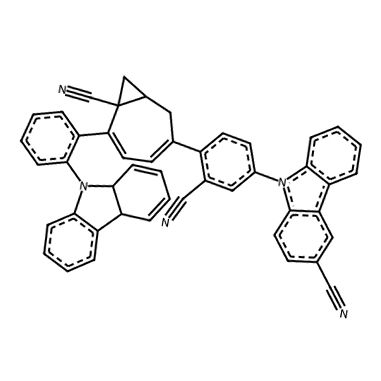 N#Cc1ccc2c(c1)c1ccccc1n2-c1ccc(C2=CC=C(c3ccccc3N3c4ccccc4C4C=CC=CC43)C3(C#N)CC3C2)c(C#N)c1